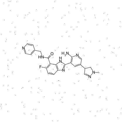 CN1CC(c2cnc(N)c(-c3nc4ccc(F)c(C(=O)NCc5ccncc5)c4[nH]3)c2)C=N1